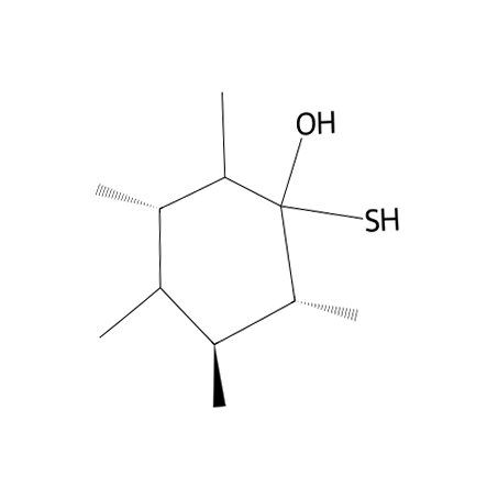 CC1[C@H](C)C(C)C(O)(S)[C@H](C)[C@H]1C